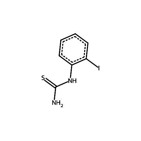 NC(=S)Nc1ccccc1I